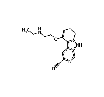 CCNCCOC1=CCNc2[nH]c3cnc(C#N)cc3c21